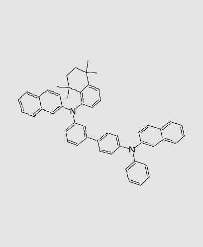 CC1(C)CCC(C)(C)c2c(N(c3cccc(-c4ccc(N(c5ccccc5)c5ccc6ccccc6c5)cc4)c3)c3ccc4ccccc4c3)cccc21